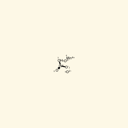 O=[N+]([O-])O.[Mn+4].[O-2].[O-2]